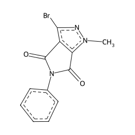 Cn1nc(Br)c2c1C(=O)N(c1ccccc1)C2=O